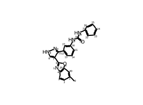 Cc1ccc2nc(-c3c[nH]nc3-c3cccc(NC(=O)Nc4ccccc4)c3)oc2c1